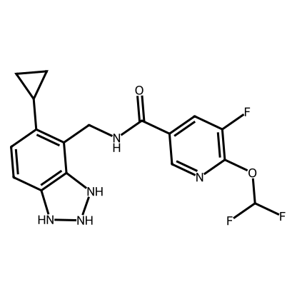 O=C(NCc1c(C2CC2)ccc2c1NNN2)c1cnc(OC(F)F)c(F)c1